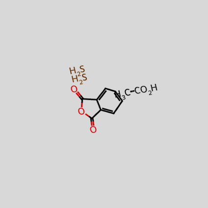 CC(=O)O.O=C1OC(=O)c2ccccc21.S.S